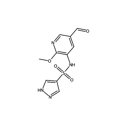 COc1ncc(C=O)cc1NS(=O)(=O)c1cn[nH]c1